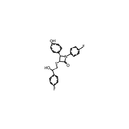 O=C1[C@@H](SCC(O)c2ccc(F)cc2)[C@@H](c2ccc(O)cc2)N1c1ccc(F)cc1